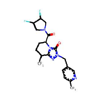 O=C(C1CCC(C(F)(F)F)c2nn(Cc3ccc(C(F)(F)F)nc3)c(=O)n21)N1CC(F)C(F)C1